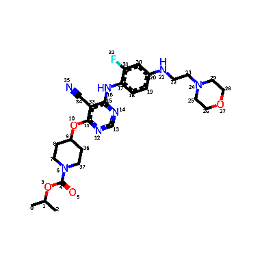 CC(C)OC(=O)N1CCC(Oc2ncnc(Nc3ccc(NCCN4CCOCC4)cc3F)c2C#N)CC1